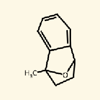 CC12CCC(O1)c1ccccc12